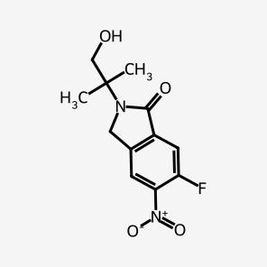 CC(C)(CO)N1Cc2cc([N+](=O)[O-])c(F)cc2C1=O